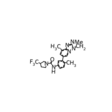 C=N/C(=N\c1ncc(-c2cc(NC(=O)N3CCC(C(F)(F)F)C3)ccc2C)cc1C)NC